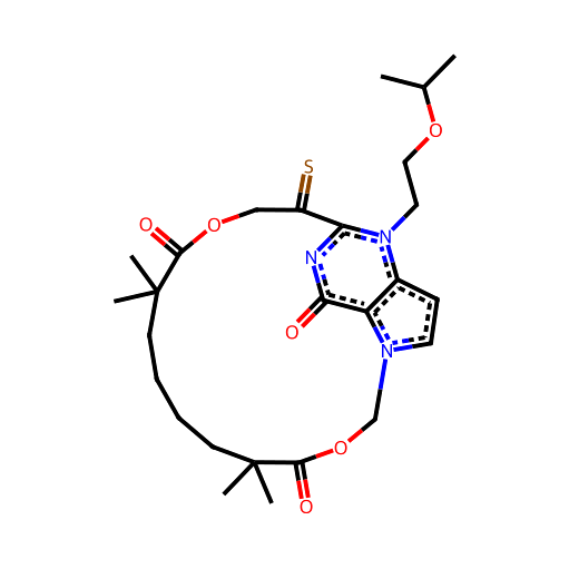 CC(C)OCCn1c2nc(=O)c3c1ccn3COC(=O)C(C)(C)CCCCC(C)(C)C(=O)OCC2=S